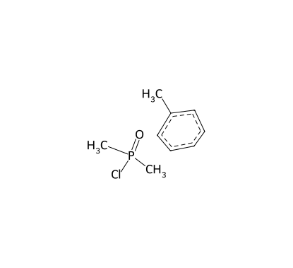 CP(C)(=O)Cl.Cc1ccccc1